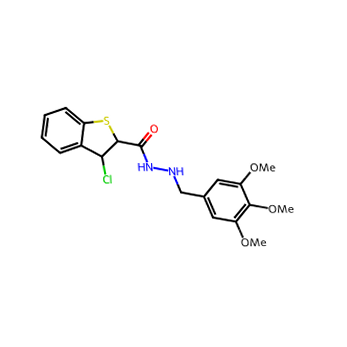 COc1cc(CNNC(=O)C2Sc3ccccc3C2Cl)cc(OC)c1OC